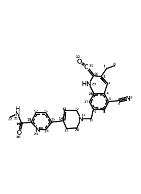 CCC1=Cc2c(C#N)cc(CN3CC=C(c4ccc(C(=O)NC)nc4)CC3)cc2NC1=C=O